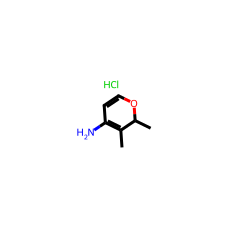 CC1=C(N)C=COC1C.Cl